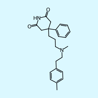 Cc1ccc(CCN(C)CCCC2(c3ccccc3)CC(=O)NC(=O)C2)cc1